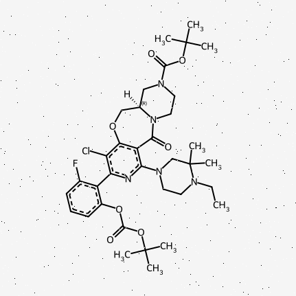 CCN1CCN(c2nc(-c3c(F)cccc3OC(=O)OC(C)(C)C)c(Cl)c3c2C(=O)N2CCN(C(=O)OC(C)(C)C)C[C@@H]2CO3)CC1(C)C